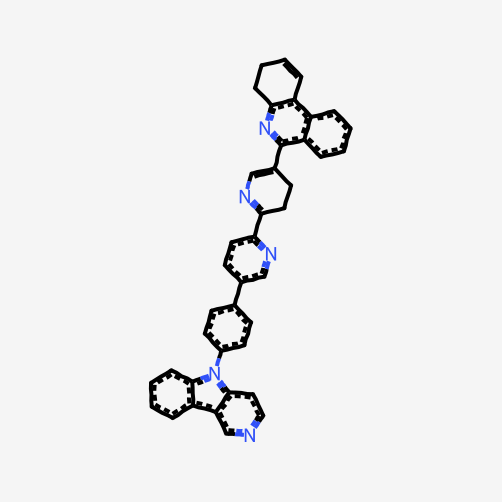 C1=Cc2c(nc(C3=CN=C(c4ccc(-c5ccc(-n6c7ccccc7c7cnccc76)cc5)cn4)CC3)c3ccccc23)CC1